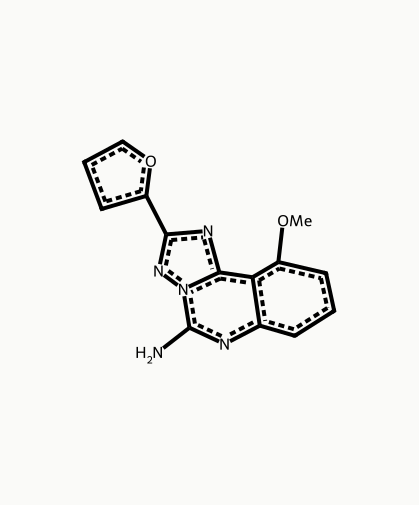 COc1cccc2nc(N)n3nc(-c4ccco4)nc3c12